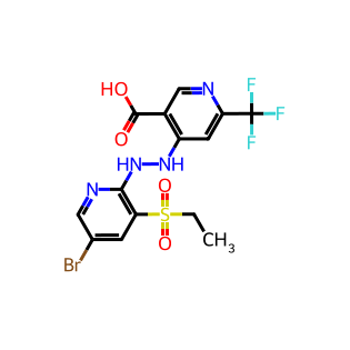 CCS(=O)(=O)c1cc(Br)cnc1NNc1cc(C(F)(F)F)ncc1C(=O)O